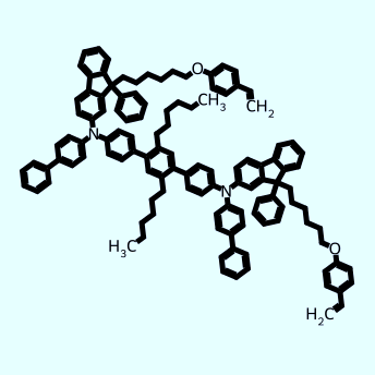 C=Cc1ccc(OCCCCCCC2(c3ccccc3)c3ccccc3-c3ccc(N(c4ccc(-c5ccccc5)cc4)c4ccc(-c5cc(CCCCCC)c(-c6ccc(N(c7ccc(-c8ccccc8)cc7)c7ccc8c(c7)C(CCCCCCOc7ccc(C=C)cc7)(c7ccccc7)c7ccccc7-8)cc6)cc5CCCCCC)cc4)cc32)cc1